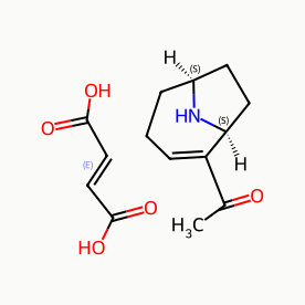 CC(=O)C1=CCC[C@H]2CC[C@@H]1N2.O=C(O)/C=C/C(=O)O